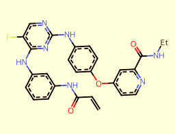 C=CC(=O)Nc1cccc(Nc2nc(Nc3ccc(Oc4ccnc(C(=O)NCC)c4)cc3)ncc2F)c1